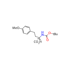 COc1ccc(CC[C@@H](NC(=O)OC(C)(C)C)C(=O)O)cc1